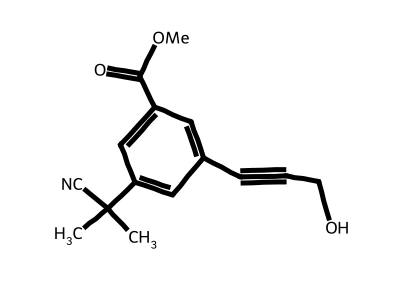 COC(=O)c1cc(C#CCO)cc(C(C)(C)C#N)c1